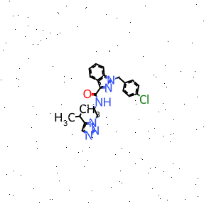 CC(C)c1cnnn1CCNC(=O)c1nn(Cc2ccc(Cl)cc2)c2ccccc12